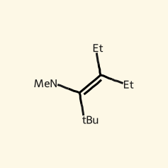 CCC(CC)=C(NC)C(C)(C)C